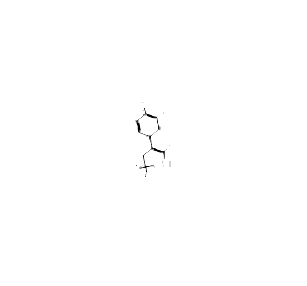 CC(C)=C(CC(C)(C)C)C1C=CC(F)=CC1